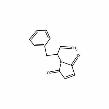 C=CC(Cc1ccccc1)N1C(=O)C=CC1=O